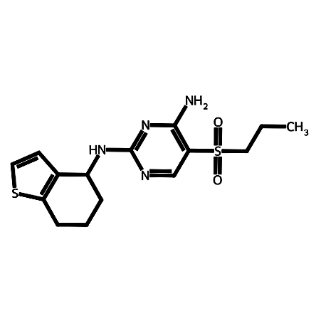 CCCS(=O)(=O)c1cnc(NC2CCCc3sccc32)nc1N